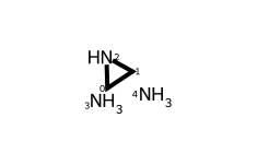 C1CN1.N.N